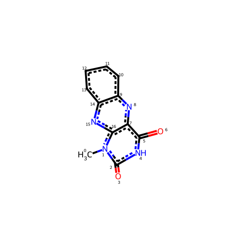 Cn1c(=O)[nH]c(=O)c2nc3ccccc3nc21